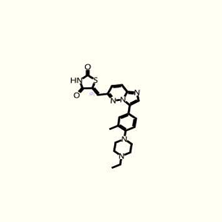 CCN1CCN(c2ccc(-c3cnc4ccc(/C=C5\SC(=O)NC5=O)nn34)cc2C)CC1